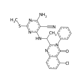 CSc1nc(N)c(C#N)c(NC(C)c2nc3cccc(Cl)c3c(=O)n2-c2ccccc2)n1